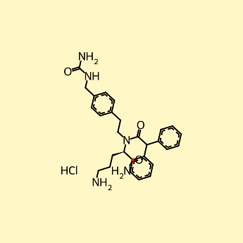 Cl.NCCC[C@H](C(N)=O)N(CCc1ccc(CNC(N)=O)cc1)C(=O)C(c1ccccc1)c1ccccc1